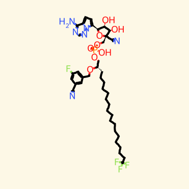 N#Cc1cc(F)cc(CO[C@@H](CCCCCCCCCCCCCCCCCC(F)(F)F)COP(=O)(O)OC[C@@]2(C#N)O[C@@H](c3ccc4c(N)ncnn34)[C@H](O)[C@@H]2O)c1